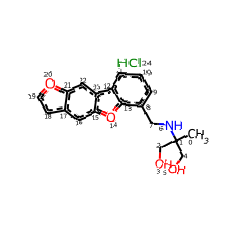 CC(CO)(CO)NCc1cccc2c1oc1cc3ccoc3cc12.Cl